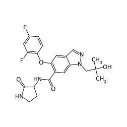 CC(C)(O)Cn1ncc2cc(Oc3ccc(F)cc3F)c(C(=O)NC3CCNC3=O)cc21